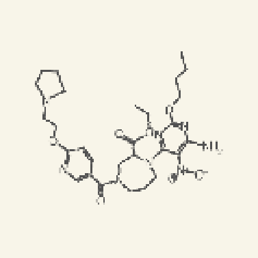 CCCCOc1nc(N)c([N+](=O)[O-])c(N2CCCN(C(=O)c3ccc(OCCN4CCCC4)nc3)CC2C(=O)OCC)n1